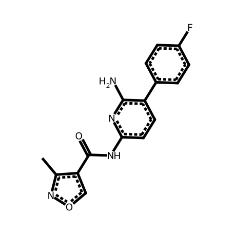 Cc1nocc1C(=O)Nc1ccc(-c2ccc(F)cc2)c(N)n1